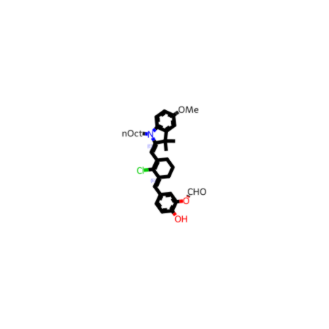 CCCCCCCCN1/C(=C/C2=C(Cl)C(=C/c3ccc(O)c(OC=O)c3)/CCC2)C(C)(C)c2cc(OC)ccc21